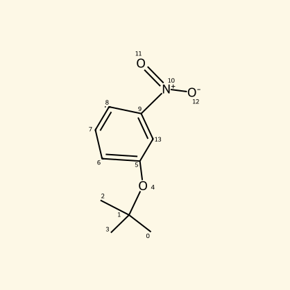 CC(C)(C)Oc1cc[c]c([N+](=O)[O-])c1